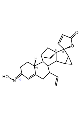 C=CC1CC2=C/C(=N/O)CC[C@@H]2C2CC[C@@]3(CC)C(C4CC4[C@@]34C=CC(=O)O4)C12